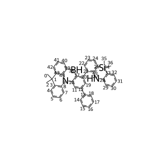 CC1(C)c2ccccc2N2c3cc(-c4ccccc4)cc(-c4cccc5c4Nc4ccccc4[Si]5(C)C)c3Bc3cccc1c32